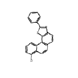 Clc1cccc2c1ccc1ccc3nc(-c4ccccc4)sc3c12